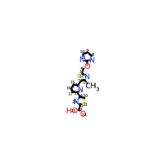 Cc1nc(COc2ncccn2)sc1-c1cccc(-c2csc(C(=O)O)n2)n1